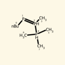 CCCC/P=[PH](/C)[PH](C)(C)C